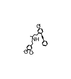 COc1ccc(C#Cc2ccccc2)c(CCC(C)NCCc2ccc(OC)c(OC)c2)c1